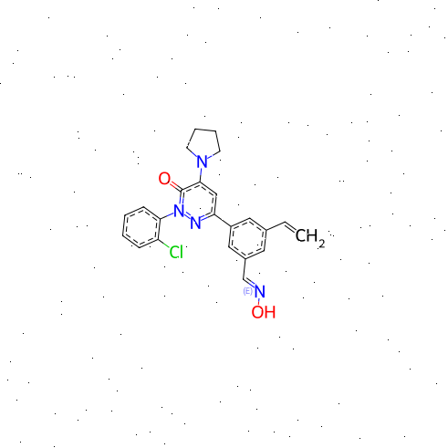 C=Cc1cc(/C=N/O)cc(-c2cc(N3CCCC3)c(=O)n(-c3ccccc3Cl)n2)c1